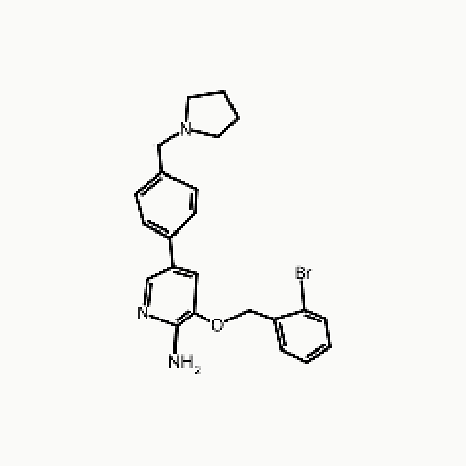 Nc1ncc(-c2ccc([CH]N3CCCC3)cc2)cc1OCc1ccccc1Br